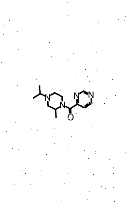 CC(C)N1CCN(C(=O)c2ccncn2)C(C)C1